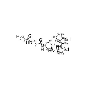 C=CC(=O)NCCC(=O)N[C@H]1CCC[C@@H](Nc2ncc(Cl)c(-c3c[nH]c4ccccc34)n2)C1